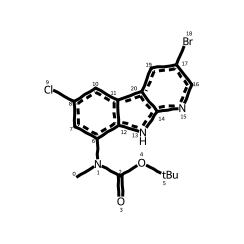 CN(C(=O)OC(C)(C)C)c1cc(Cl)cc2c1[nH]c1ncc(Br)cc12